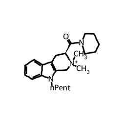 CCCCCn1c2c(c3ccccc31)C[C@@H](C(=O)N1CCCCC1)[N+](C)(C)C2